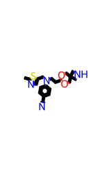 Cc1ncc(CN(CCC2OCC3(CNC3)CO2)c2ccc(C#N)cc2)s1